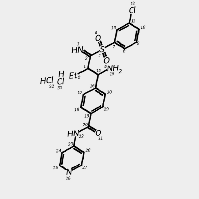 CCC(C(=N)S(=O)(=O)c1cccc(Cl)c1)C(N)c1ccc(C(=O)Nc2ccncc2)cc1.Cl.Cl